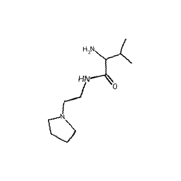 CC(C)C(N)C(=O)NCCN1CCCC1